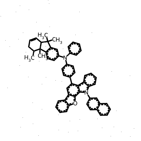 CC1CC=CC2C(C)(C)c3cc(N(c4ccccc4)c4ccc(-c5cc6c7ccccc7oc6c6c5c5ccccc5n6-c5ccc6ccccc6c5)cc4)ccc3C12C